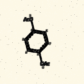 CC(=O)Oc1ccc(OC(C)=O)cc1